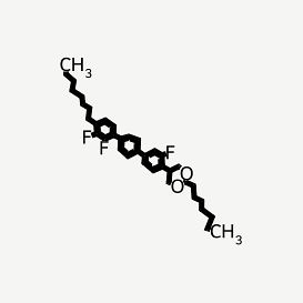 CCCCCCCCc1ccc(-c2ccc(-c3ccc(C4COC(CCCCCCC)OC4)c(F)c3)cc2)c(F)c1F